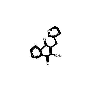 CC1=C(Cc2cccnc2)C(=O)c2ccccc2C1=O